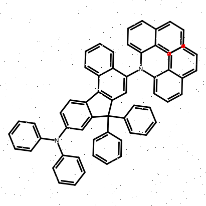 c1ccc(N(c2ccccc2)c2ccc3c(c2)C(c2ccccc2)(c2ccccc2)c2cc(N(c4cccc5ccccc45)c4cccc5ccccc45)c4ccccc4c2-3)cc1